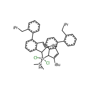 CCC(C)C1=Cc2c(-c3ccccc3CC(C)C)cccc2[CH]1[Zr]([Cl])([Cl])([CH]1C(C(C)CC)=Cc2c(-c3ccccc3CC(C)C)cccc21)[SiH](C)C